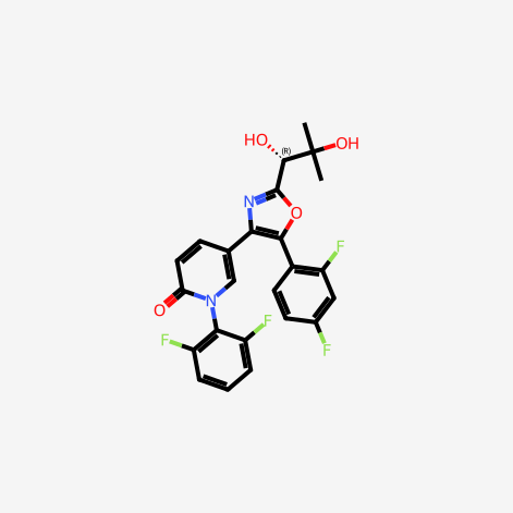 CC(C)(O)[C@@H](O)c1nc(-c2ccc(=O)n(-c3c(F)cccc3F)c2)c(-c2ccc(F)cc2F)o1